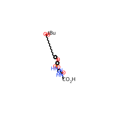 CC(C)(C)OC(=O)CCCCCCCCCCCCCc1ccc(Oc2ccc(S(=O)(=O)Nc3cnc(C(=O)NCCC(=O)O)nc3)cc2)cc1